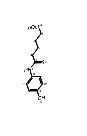 CCCCCCCCCCCCC(=S)Nc1ccc(O)cc1